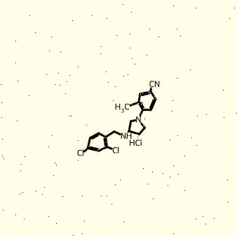 Cc1cc(C#N)ccc1N1CC[C@H](NCc2ccc(Cl)cc2Cl)C1.Cl